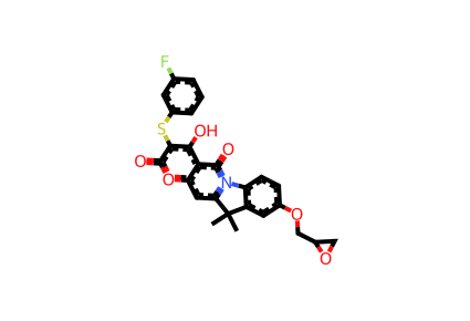 CC1(C)c2cc(OCC3CO3)ccc2-n2c1cc1oc(=O)c(Sc3cccc(F)c3)c(O)c1c2=O